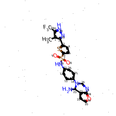 Cc1c(-c2ccc(S(=O)(=O)Nc3ccc(N4C=Nc5occc5C4N)cc3)s2)n[nH]c1C(F)(F)F